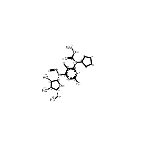 C=NN(c1nc(Cl)nc(N(C(=O)OC(C)(C)C)C2CCCC2)c1C)[C@@H]1O[C@H](CO)[C@@H](O)[C@H]1O